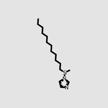 CCCCCCCCCCCC[Si](C)n1ccnc1